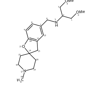 COCC(COC)NCc1ccc2c(c1)CC1(CCN(C)CC1)O2